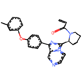 C=CC(=O)N1CCCC[C@H]1c1nc(-c2ccc(Oc3cccc(C)c3)cc2)c2cnccn12